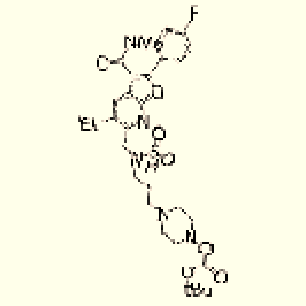 CCc1cc2c(C(=O)NC)c(-c3ccc(F)cc3)oc2nc1CN(CCCN1CCN(OC(=O)OC(C)(C)C)CC1)[SH](=O)=O